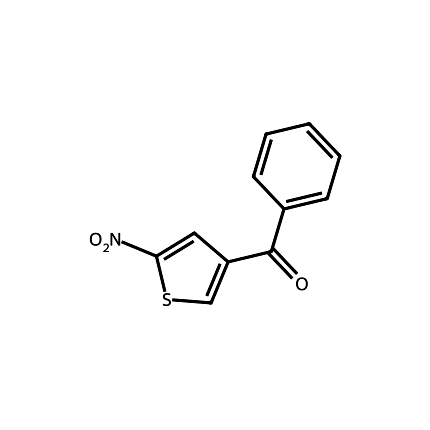 O=C(c1ccccc1)c1csc([N+](=O)[O-])c1